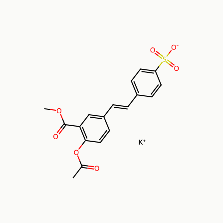 COC(=O)c1cc(C=Cc2ccc(S(=O)(=O)[O-])cc2)ccc1OC(C)=O.[K+]